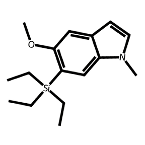 CC[Si](CC)(CC)c1cc2c(ccn2C)cc1OC